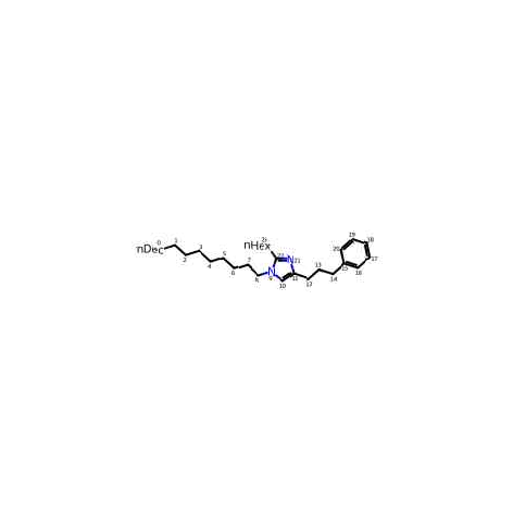 CCCCCCCCCCCCCCCCCCn1cc(CCCc2ccccc2)nc1CCCCCC